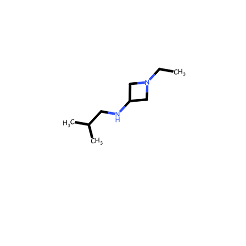 CCN1CC(NCC(C)C)C1